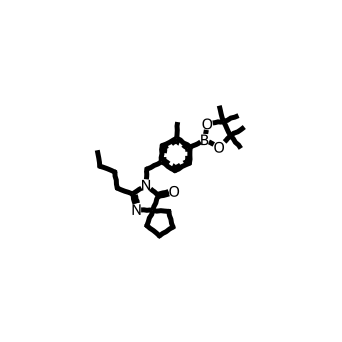 CCCCC1=NC2(CCCC2)C(=O)N1Cc1ccc(B2OC(C)(C)C(C)(C)O2)c(C)c1